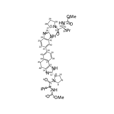 COC(=O)N[C@H](C(=O)N1CCC[C@H]1c1nc2c([nH]1)-c1ccc(-c3ccc4nc([C@@H]5CCCN5C(=O)[C@@H](NC(=O)OC)C(C)C)[nH]c4c3)cc1CC2)C(C)C